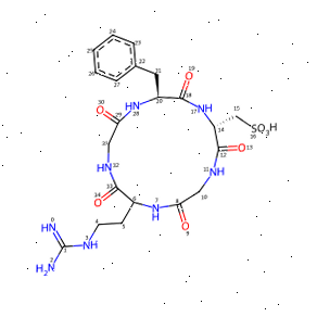 N=C(N)NCCC1NC(=O)CNC(=O)[C@@H](CS(=O)(=O)O)NC(=O)[C@H](Cc2ccccc2)NC(=O)CNC1=O